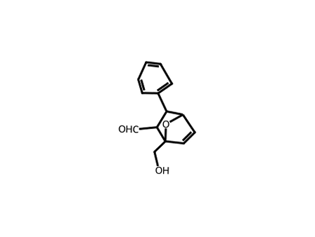 O=CC1C(c2ccccc2)C2C=CC1(CO)O2